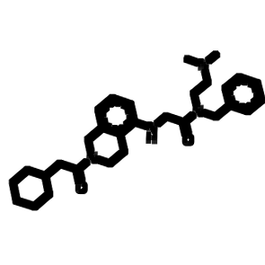 CN(C)CCN(Cc1ccccc1)C(=O)CNc1cccc2c1CCN(C(=O)CC1CCCCC1)C2